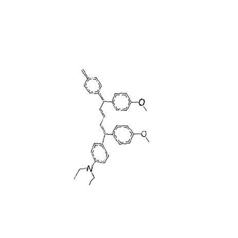 C=c1ccc(=C(C=CC=C(c2ccc(OC)cc2)c2ccc(N(CC)CC)cc2)c2ccc(OC)cc2)cc1